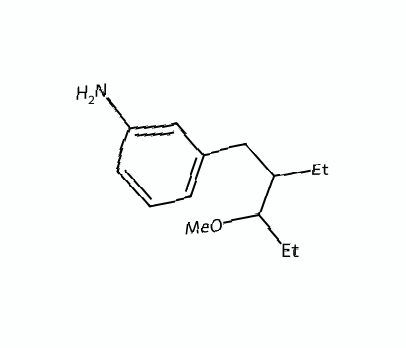 CCC(Cc1cccc(N)c1)C(CC)OC